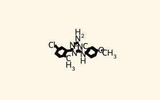 COc1ccc(Nc2nc(N)nc(-c3cc(Cl)ccc3C)n2)c(C)c1